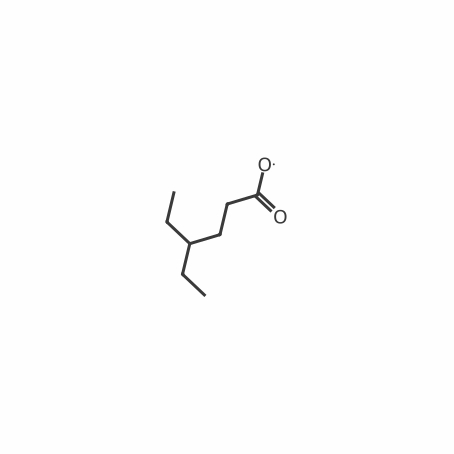 CCC(CC)CCC([O])=O